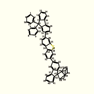 c1ccc(C2(c3ccccc3)c3ccccc3-c3ccc(-c4ccc5c(c4)sc4cc(-c6ccc7c(c6)-c6ccccc6C76C7CC8CC(C7)C6C8)ccc45)cc32)cc1